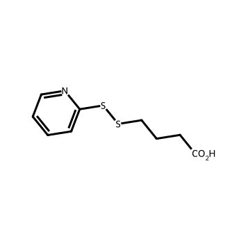 O=C(O)CCCSSc1ccccn1